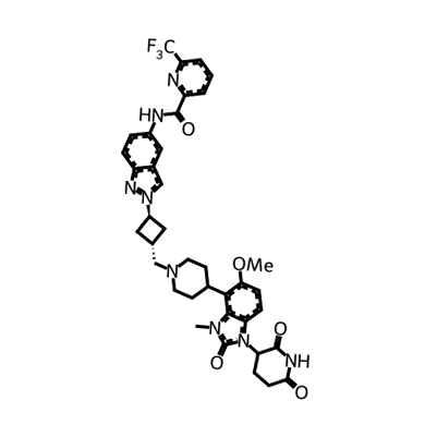 COc1ccc2c(c1C1CCN(C[C@H]3C[C@H](n4cc5cc(NC(=O)c6cccc(C(F)(F)F)n6)ccc5n4)C3)CC1)n(C)c(=O)n2C1CCC(=O)NC1=O